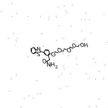 NC(=O)Cc1cc(-c2nc3ccccc3s2)ccc1OCCOCCOCCOCCO